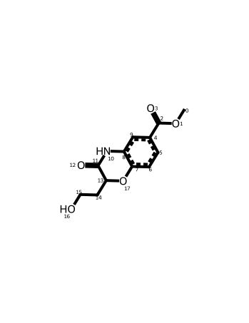 COC(=O)c1ccc2c(c1)NC(=O)C(CCO)O2